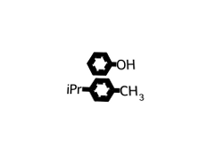 Cc1ccc(C(C)C)cc1.Oc1ccccc1